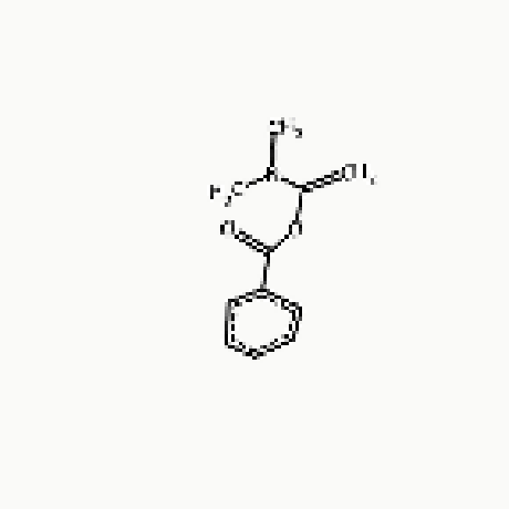 C=C(OC(=O)c1ccccc1)N(C)C